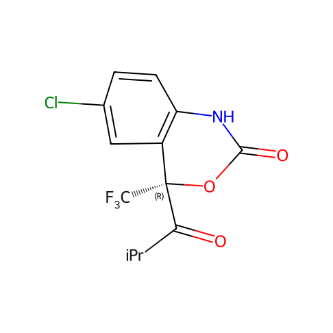 CC(C)C(=O)[C@]1(C(F)(F)F)OC(=O)Nc2ccc(Cl)cc21